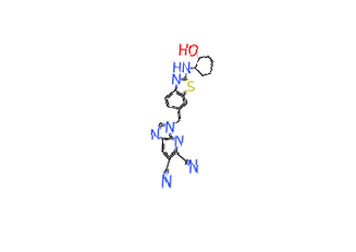 N#Cc1cc2ncn(Cc3ccc4nc(N[C@@H]5CCCC[C@H]5O)sc4c3)c2nc1C#N